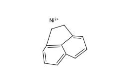 [Ni+2].c1cc2c3c(cccc3c1)CC2